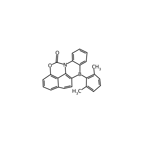 Cc1cccc(C)c1B1c2ccccc2N2C(=O)Oc3cccc4ccc1c2c34